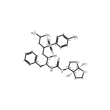 CC(C)CC(C[C@@H](O)[C@H](Cc1ccccc1)NC(=O)O[C@H]1CO[C@H]2OCC[C@H]21)S(=O)(=O)c1ccc(N)cc1